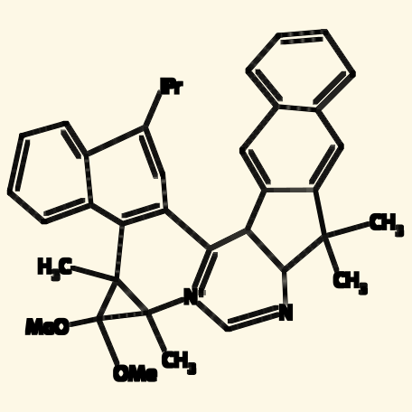 COC1(OC)C2(C)c3c(cc(C(C)C)c4ccccc34)C3=[N+](C=NC4C3c3cc5ccccc5cc3C4(C)C)C12C